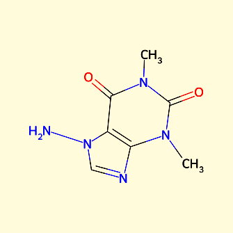 Cn1c(=O)c2c(ncn2N)n(C)c1=O